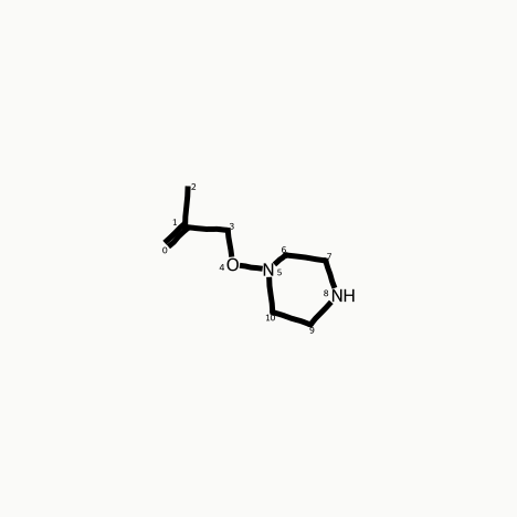 C=C(C)CON1CCNCC1